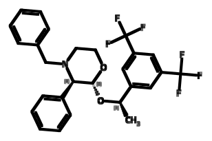 C[C@@H](O[C@H]1OCCN(Cc2ccccc2)[C@@H]1c1ccccc1)c1cc(C(F)(F)F)cc(C(F)(F)F)c1